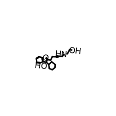 O=C(CCC#CCNCCO)C(O)(c1ccccc1)C1CCCCC1